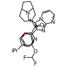 CC(C)c1ccc(-c2nc3ncccn3c2CN2C3CCC2CN(C(=O)c2cccc(OC(F)F)n2)CC3)cc1